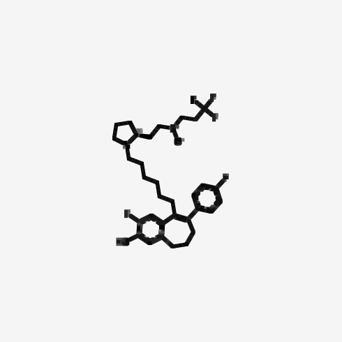 [O-][S+](CC[C@@H]1CCCN1CCCCCCC1=C(c2ccc(F)cc2)CCCc2cc(O)c(F)cc21)CCC(F)(F)F